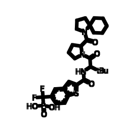 CC(C)(C)C(NC(=O)c1cc2cc(C(F)(F)P(=O)(O)O)ccc2s1)C(=O)N1CCCC1C(=O)N1CCCC12CCCCC2